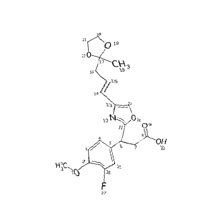 COc1ccc(C(CC(=O)O)c2nc(C=CCC3(C)OCCO3)co2)cc1F